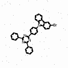 Brc1ccc2c(c1)c1ccccc1n2-c1ccc(-c2nc(-c3ccccc3)nc(-c3ccccc3)n2)cc1